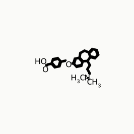 CN(C)CCCC1c2ccccc2CCc2cc(OCc3ccc(C(=O)O)cc3)ccc21